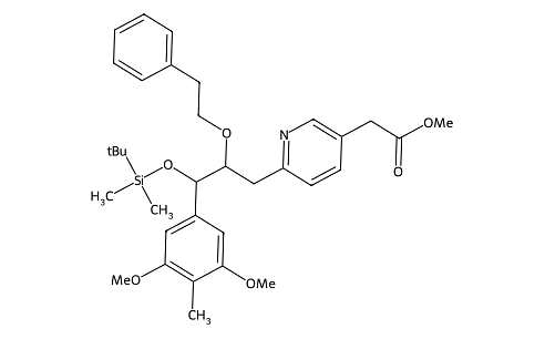 COC(=O)Cc1ccc(CC(OCCc2ccccc2)C(O[Si](C)(C)C(C)(C)C)c2cc(OC)c(C)c(OC)c2)nc1